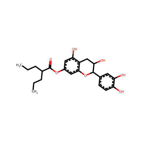 CCCC(CCC)C(=O)Oc1cc(O)c2c(c1)OC(c1ccc(O)c(O)c1)C(O)C2